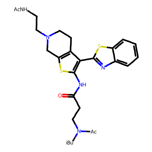 CCC(C)N(CCC(=O)Nc1sc2c(c1-c1nc3ccccc3s1)CCN(CCNC(C)=O)C2)C(C)=O